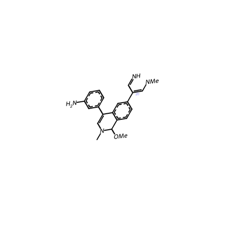 CN/C=C(\C=N)c1ccc2c(c1)C(c1cccc(N)c1)=CN(C)C2OC